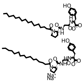 CCCCCCCCCCCCCCCC(=O)N1CCC[C@H]1C(=O)NCC(=O)N[C@@H](Cc1ccc(O)cc1)C(=O)[O-].CCCCCCCCCCCCCCCC(=O)N1CCC[C@H]1C(=O)NCC(=O)N[C@@H](Cc1ccc(O)cc1)C(=O)[O-].[Na+].[Na+]